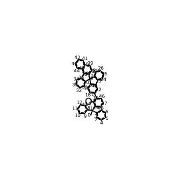 CC1(c2ccccc2)c2ccccc2Oc2c(-c3ccc4c(c3)-c3ccccc3C43c4ccccc4-c4c3ccc3ccccc43)cccc21